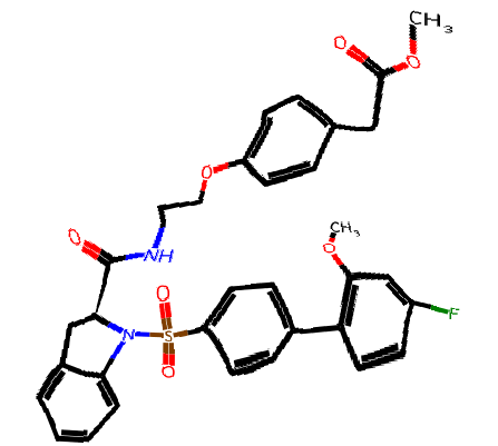 COC(=O)Cc1ccc(OCCNC(=O)[C@@H]2Cc3ccccc3N2S(=O)(=O)c2ccc(-c3ccc(F)cc3OC)cc2)cc1